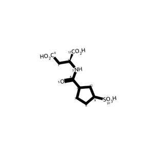 O=C(O)C[C@H](NC(=O)C1CCC(S(=O)(=O)O)C1)C(=O)O